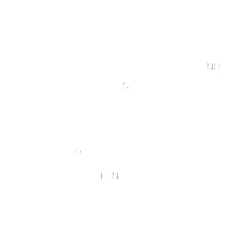 CCC(CC)Oc1cc(C)nc(-c2c(C)cc(C)c(N)c2C)c1CN